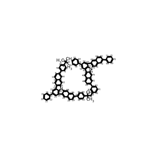 CC(C)(C)c1ccc(-c2ccc3cc4c5cc(-c6ccccc6)cc6c7cc8ccc(-c9ccc(C(C)(C)Cc%10cccc(-c%11ccc%12cc%13c%14cc(-c%15ccccc%15)cc%15c%16cc%17ccc(-c%18ccccc%18)cc%17cc%16n(c%13cc%12c%11)c%15%14)c%10)cc9)cc8cc7n(c4cc3c2)c56)cc1